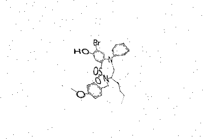 CCCC[C@@H]1CN(c2ccccc2)c2cc(Br)c(O)cc2S(=O)(=O)N1Cc1ccc(OC)cc1